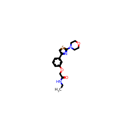 CCNC(=O)COc1cccc(-c2csc(N3CCOCC3)n2)c1